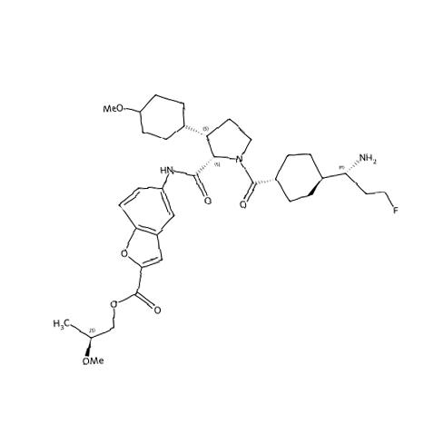 COC1CCC([C@@H]2CCN(C(=O)[C@H]3CC[C@H]([C@H](N)CCF)CC3)[C@@H]2C(=O)Nc2ccc3oc(C(=O)OC[C@H](C)OC)cc3c2)CC1